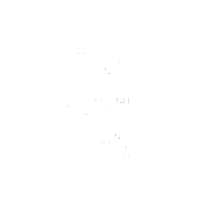 O=CN(O)C[C@H](Cc1ccccc1)C(=O)N[C@H]1CCc2ccccc2N(CC(=O)O)C1=O